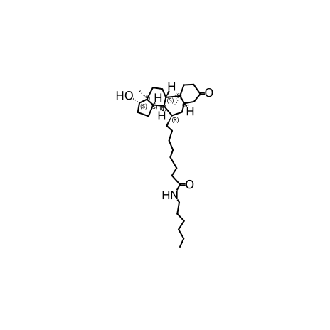 CCCCCCNC(=O)CCCCCCC[C@@H]1C[C@H]2CC(=O)CC[C@]2(C)[C@H]2CC[C@]3(C)[C@@H](O)CC[C@H]3[C@H]12